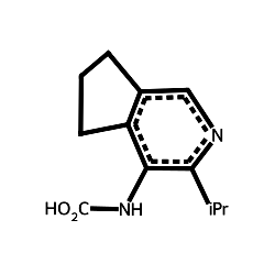 CC(C)c1ncc2c(c1NC(=O)O)CCC2